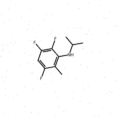 Cc1c(F)cc(F)c(F)c1NC(C)C